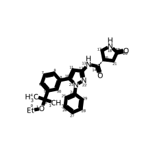 CCOC(C)(C)c1cccc(-c2cc(NC(=O)[C@@H]3CNC(=O)C3)nn2-c2ccccc2)c1